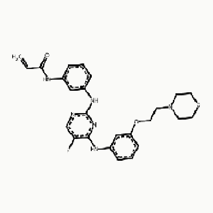 C=CC(=O)Nc1cccc(Nc2ncc(F)c(Nc3cccc(OCCN4CCOCC4)c3)n2)c1